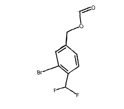 O=[C]OCc1ccc(C(F)F)c(Br)c1